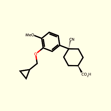 COc1ccc([C@]2(C#N)CC[C@H](C(=O)O)CC2)cc1OCC1CC1